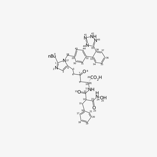 CCCCc1ncc(CCC(=O)C[C@@H](NC(=O)C(Cc2ccccc2)C(=O)NO)C(=O)O)n1Cc1ccc(-c2ccccc2-c2nn[nH]n2)cc1